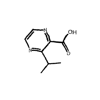 CC(C)c1nccnc1C(=O)O